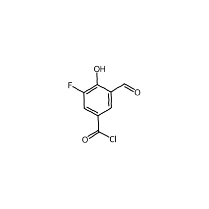 O=Cc1cc(C(=O)Cl)cc(F)c1O